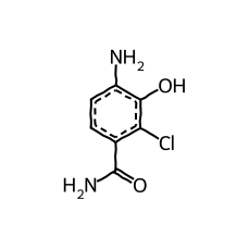 NC(=O)c1ccc(N)c(O)c1Cl